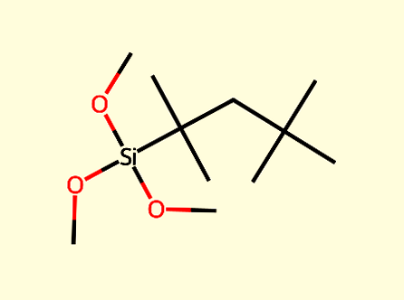 CO[Si](OC)(OC)C(C)(C)CC(C)(C)C